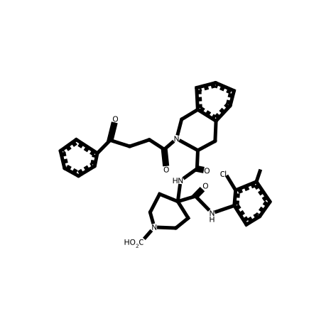 Cc1cccc(NC(=O)C2(NC(=O)C3Cc4ccccc4CN3C(=O)CCC(=O)c3ccccc3)CCN(C(=O)O)CC2)c1Cl